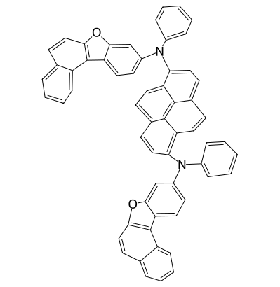 c1ccc(N(c2ccc3c(c2)oc2ccc4ccccc4c23)c2ccc3ccc4c(N(c5ccccc5)c5ccc6c(c5)oc5ccc7ccccc7c56)ccc5ccc2c3c54)cc1